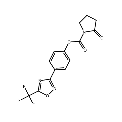 O=C1NCCN1C(=O)Oc1ccc(-c2noc(C(F)(F)F)n2)cc1